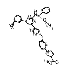 COC[C@H](Nc1nc(-c2cccc(C#N)c2)cc(-c2cn(Cc3cccc(N4CCC(C(=O)O)C4)n3)nn2)n1)c1ccccc1